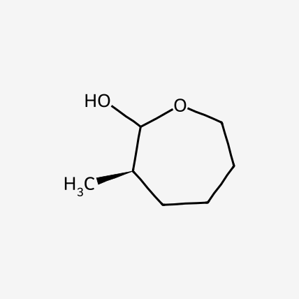 C[C@@H]1CCCCOC1O